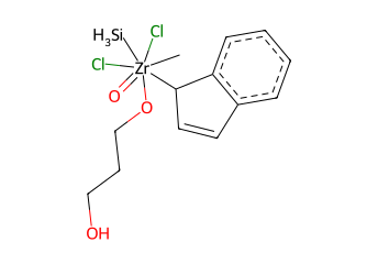 [CH3][Zr](=[O])([SiH3])([Cl])([Cl])([O]CCCO)[CH]1C=Cc2ccccc21